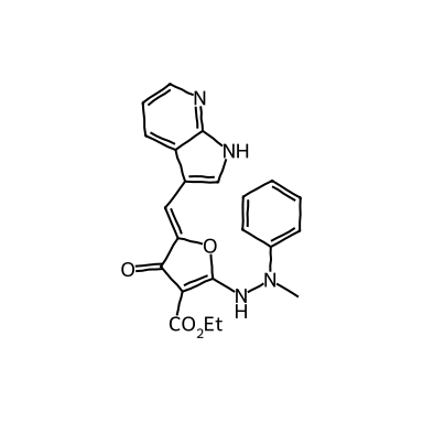 CCOC(=O)C1=C(NN(C)c2ccccc2)OC(=Cc2c[nH]c3ncccc23)C1=O